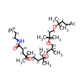 CC(=O)CCC(C)(C)OCCC(C)(C)OCC(C)COC(C)(C)CCOC(C)(C)CCC(=O)NCCC(C)C